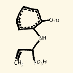 C=CC(Nc1ccccc1C=O)S(=O)(=O)O